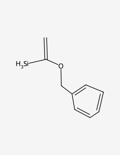 C=C([SiH3])OCc1ccccc1